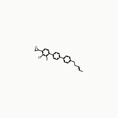 C/C=C/CCc1ccc(-c2ccc(-c3ccc(C4CO4)c(Cl)c3F)cc2)cc1